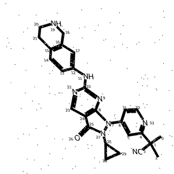 CC(C)(C#N)c1cc(-n2c3nc(Nc4ccc5c(c4)CNCC5)ncc3c(=O)n2C2CC2)ccn1